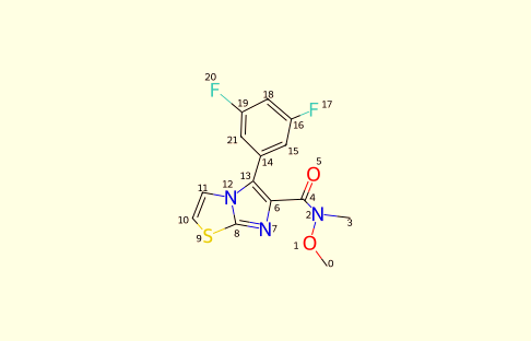 CON(C)C(=O)c1nc2sccn2c1-c1cc(F)cc(F)c1